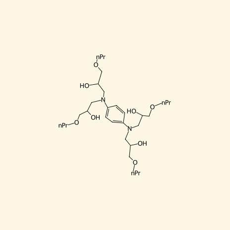 CCCOCC(O)CN(CC(O)COCCC)c1ccc(N(CC(O)COCCC)CC(O)COCCC)cc1